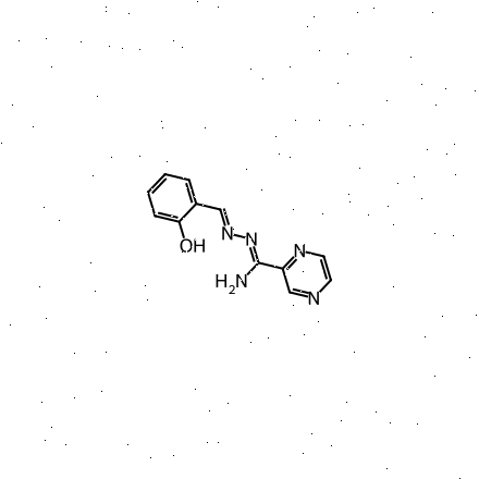 N/C(=N\N=C\c1ccccc1O)c1cnccn1